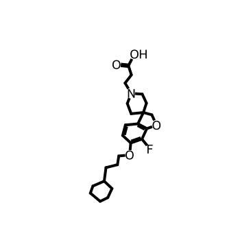 O=C(O)CCN1CCC2(CC1)COc1c2ccc(OCCCC2CCCCC2)c1F